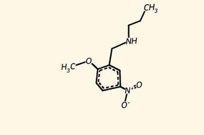 CCCNCc1cc([N+](=O)[O-])ccc1OC